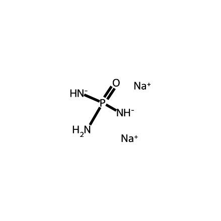 [NH-]P([NH-])(N)=O.[Na+].[Na+]